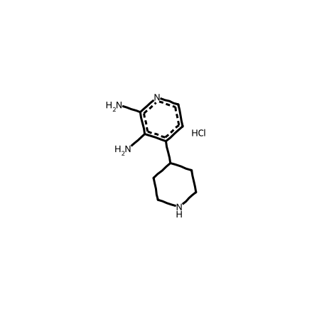 Cl.Nc1nccc(C2CCNCC2)c1N